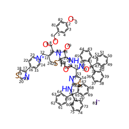 COc1ccc(COC(=O)C2=C(C[n+]3ccc(-c4cscn4)cc3)CS[C@H]3[C@H](NC(=O)C(=NOC(c4ccccc4)(c4ccccc4)c4ccccc4)c4csc(NC(c5ccccc5)(c5ccccc5)c5ccccc5)n4)C(=O)N23)cc1.[I-]